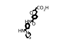 N=C(c1ccc(NC(=O)c2ccc3c(c2)OCC(CC(=O)O)C3)cc1)N1CCSCC1